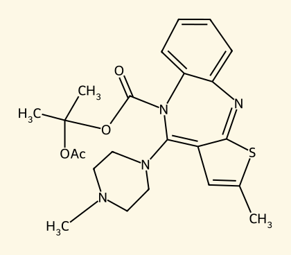 CC(=O)OC(C)(C)OC(=O)N1C(N2CCN(C)CC2)=c2cc(C)sc2=Nc2ccccc21